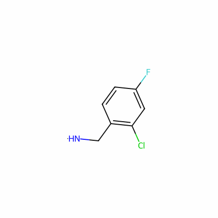 [NH]Cc1ccc(F)cc1Cl